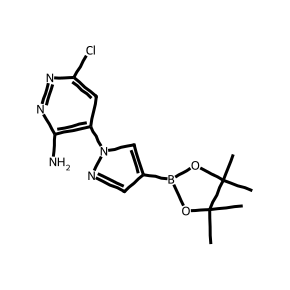 CC1(C)OB(c2cnn(-c3cc(Cl)nnc3N)c2)OC1(C)C